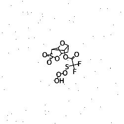 O=C(OC1C2CC3OS(=O)(=O)C1C3O2)C(F)(F)SOOO